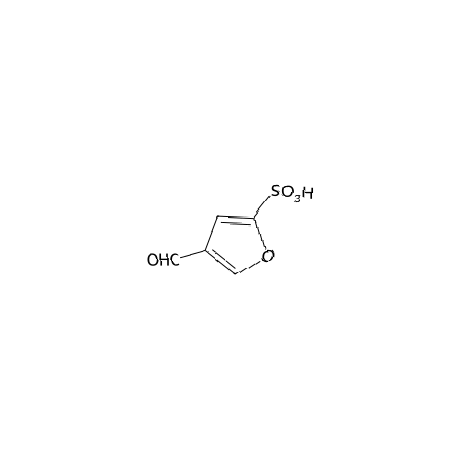 O=Cc1coc(S(=O)(=O)O)c1